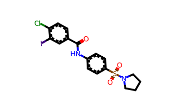 O=C(Nc1ccc(S(=O)(=O)N2CCCC2)cc1)c1ccc(Cl)c(I)c1